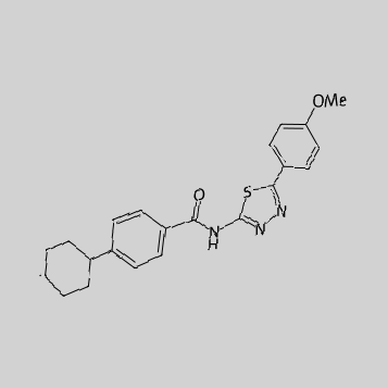 COc1ccc(-c2nnc(NC(=O)c3ccc(C4CC[CH]CC4)cc3)s2)cc1